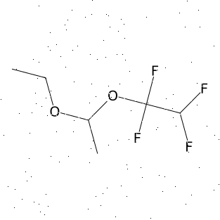 CCOC(C)OC(F)(F)C(F)F